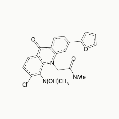 CNC(=O)Cn1c2cc(-c3ccco3)ccc2c(=O)c2ccc(Cl)c(N(C)O)c21